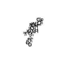 O=C(C=CCN1CCOC(=O)C1)Nc1cc2c(Nc3ccc(F)c(Cl)c3)ncnc2cc1OCC1CC1